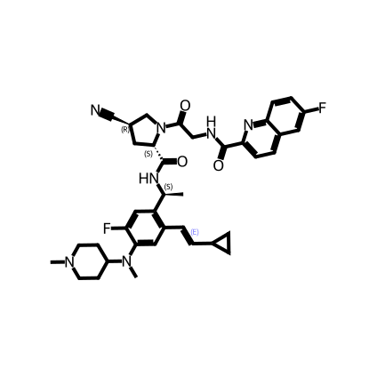 C[C@H](NC(=O)[C@@H]1C[C@@H](C#N)CN1C(=O)CNC(=O)c1ccc2cc(F)ccc2n1)c1cc(F)c(N(C)C2CCN(C)CC2)cc1/C=C/C1CC1